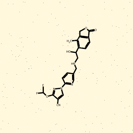 Cc1c(C(O)CNCc2ccc(-n3cc(C#N)c(OC(F)F)n3)nc2)ccc2c1COC2=O